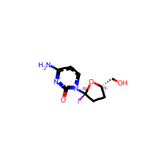 Nc1ccn([C@@]2(I)CC[C@@H](CO)O2)c(=O)n1